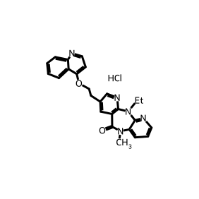 CCN1c2ncc(CCOc3ccnc4ccccc34)cc2C(=O)N(C)c2cccnc21.Cl